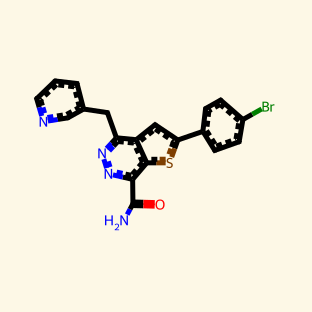 NC(=O)c1nnc(Cc2cccnc2)c2cc(-c3ccc(Br)cc3)sc12